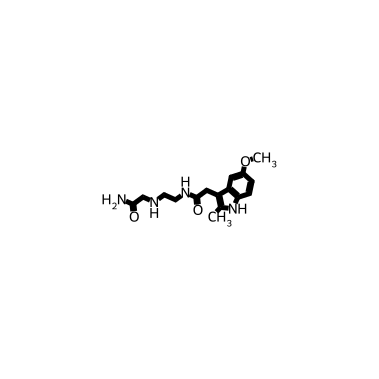 COc1ccc2[nH]c(C)c(CC(=O)NCCNCC(N)=O)c2c1